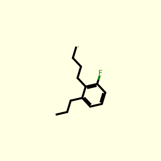 [CH2]CCCc1c(F)cccc1CCC